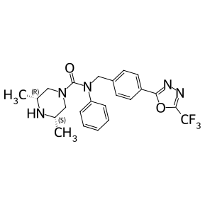 C[C@@H]1CN(C(=O)N(Cc2ccc(-c3nnc(C(F)(F)F)o3)cc2)c2ccccc2)C[C@H](C)N1